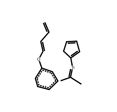 C=CC=COc1ccccc1.C[C](C)=[Ti][C]1=CC=CC1